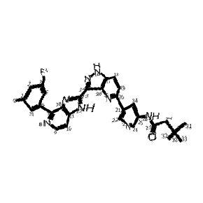 Cc1cc(F)cc(-c2nccc3[nH]c(-c4n[nH]c5ccc(-c6cncc(NC(=O)CC(C)(C)C)c6)nc45)nc23)c1